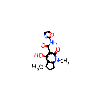 C[C@H]1CCc2c1c(O)c(C(=O)Nc1ncco1)c(=O)n2C